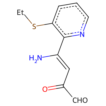 CCSc1cccnc1/C(N)=C/C(=O)C=O